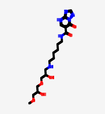 COCC(O)COCC(O)CNCCCCCCNC(=O)c1c[nH]c2ncnn2c1=O